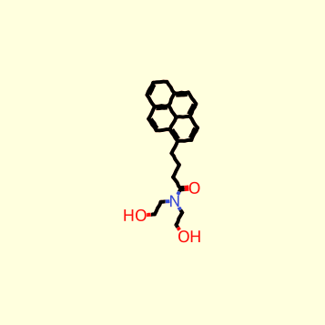 O=C(CCCC1=C2C=CC3=C4C(=CC=C(C=C1)C24)CC=C3)N(CCO)CCO